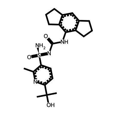 Cc1nc(C(C)(C)O)ccc1[S@](N)(=O)=NC(=O)Nc1c2c(cc3c1CCC3)CCC2